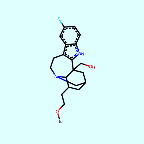 CCOCCC1CC2CN3CCc4c([nH]c5ccc(F)cc45)C(CO)(C2)C13